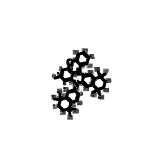 Cc1cc2c3c(c1)N(c1ccc4c(c1)C(C)(C)CCC4(C)C)c1cc4c(cc1B3c1ccccc1O2)C(C)(C)CCC4(C)C